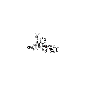 O=C(OC1([C@H]2COC[C@@H](CC3CC3)N2S(=O)(=O)c2ccc(Cl)s2)CC1)N1CC2CCC(C1)N2CCO